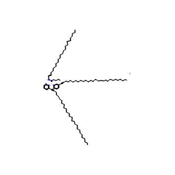 CCCCCCCCCCCCCCCCCCCCCC=CC(=Nc1cccc(C#CCCCCCCCCCCCCCCCCCCCCCCCCCC)c1)C(CCCC)=Nc1cccc(C#CCCCCCCCCCCCCCCCCCCCCCCCCCC)c1.[Ni]